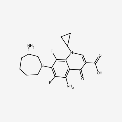 Nc1c(F)c(N2CCCC[C@H](N)C2)c(F)c2c1c(=O)c(C(=O)O)cn2C1CC1